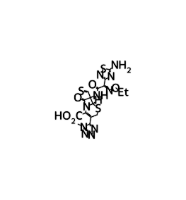 CCON=C(C(=O)NC1(C=S)C(=O)N2C(C(=O)O)=C(c3nnnn3C)CS[C@H]21)c1nsc(N)n1